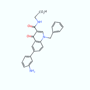 Nc1cccc(-c2ccc3c(c2)c(=O)c(C(=O)NCC(=O)O)cn3Cc2ccccc2)c1